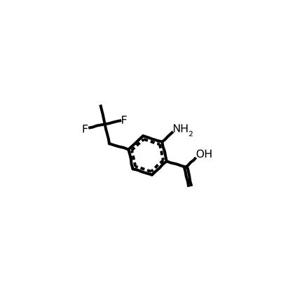 C=C(O)c1ccc(CC(C)(F)F)cc1N